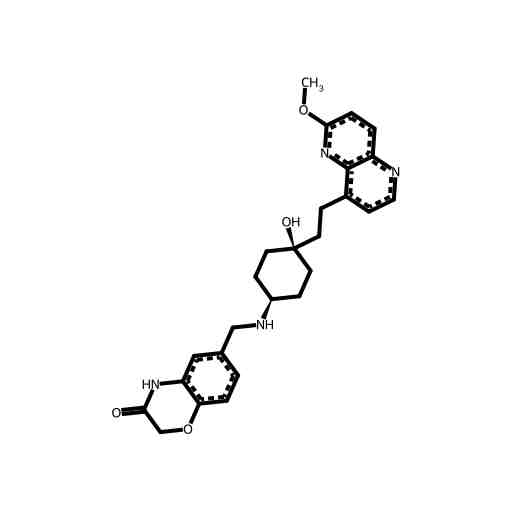 COc1ccc2nccc(CC[C@]3(O)CC[C@@H](NCc4ccc5c(c4)NC(=O)CO5)CC3)c2n1